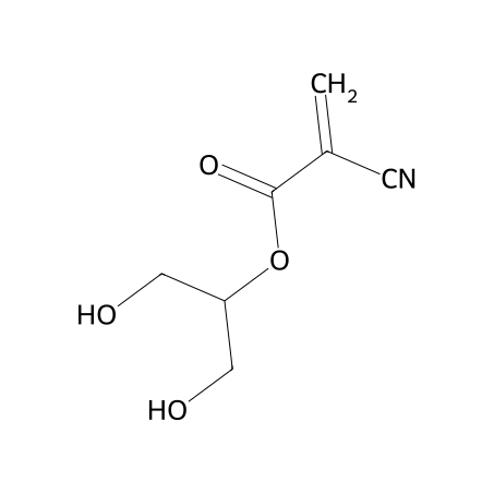 C=C(C#N)C(=O)OC(CO)CO